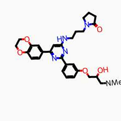 CNCC(O)COc1cccc(-c2nc(NCCCN3CCCC3=O)cc(-c3ccc4c(c3)OCCO4)n2)c1